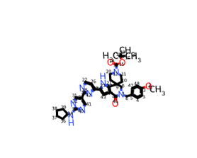 COc1ccc(CN2CC3(CCN(C(=O)OC(C)(C)C)CC3)c3[nH]c(-c4ccnc(-c5cnc(NC6CCCC6)nc5)n4)cc3C2=O)cc1